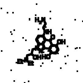 CCN(CC)CC(O)Cn1nc2c3c(c(NCCN)ccc31)C(=O)c1c(O)ccc(O)c1-2